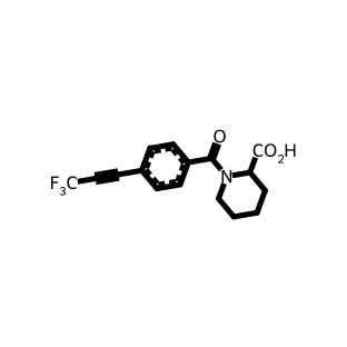 O=C(O)C1CCCCN1C(=O)c1ccc(C#CC(F)(F)F)cc1